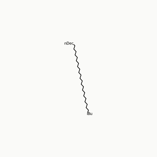 [CH2]CCCCCCCCCCCCCCCCCCCCCCCCCCCCCCCCC(C)CC